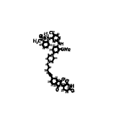 COc1cc(N2CCN(CCCC#Cc3ccc4c(c3)C(=O)N(C3CCC(=O)NC3=O)C4=O)CC2)ccc1Nc1ncc(Cl)c(Nc2ccccc2P(C)(C)=O)n1